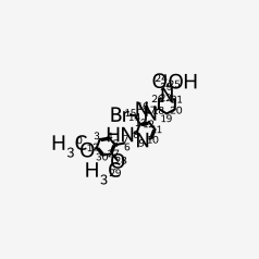 COc1ccc(CNc2nccc3c2c(Br)nn3[C@@H]2CCCN(C(=O)O)C2)c(OC)c1